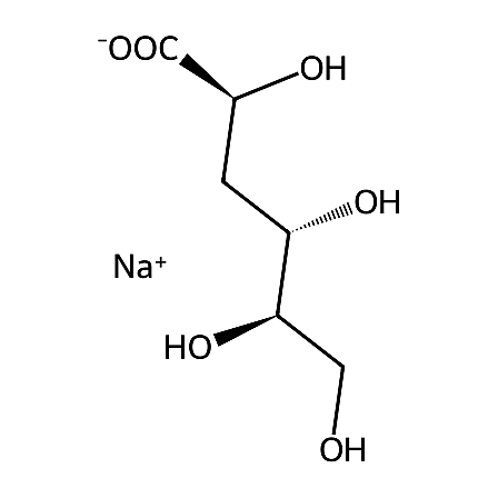 O=C([O-])[C@@H](O)C[C@H](O)[C@H](O)CO.[Na+]